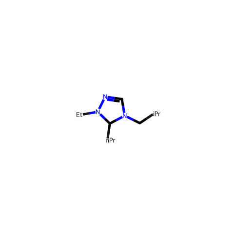 CCCC1N(CC(C)C)C=NN1CC